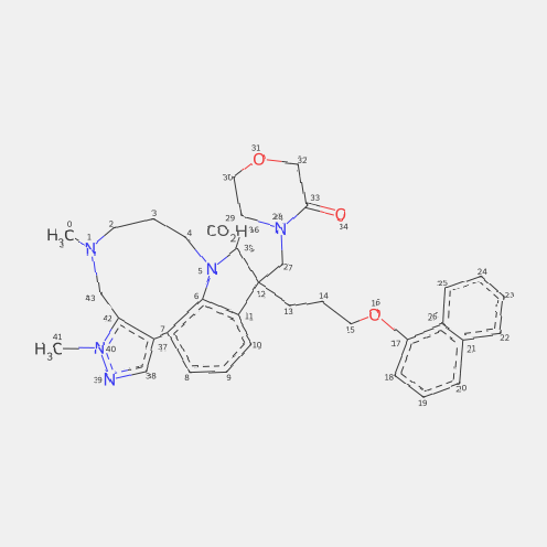 CN1CCCN2c3c(cccc3C(CCCOc3cccc4ccccc34)(CN3CCOCC3=O)C2C(=O)O)-c2cnn(C)c2C1